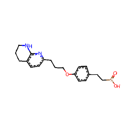 O=S(O)CCc1ccc(OCCCc2ccc3c(n2)NCCC3)cc1